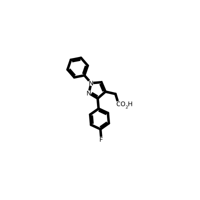 O=C(O)Cc1cn(-c2ccccc2)nc1-c1ccc(F)cc1